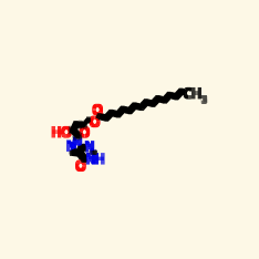 CCCCCCCCCCCCCCCC(=O)OC[C@@H]1C[C@@H](O)[C@H](n2ncc3c(=O)[nH]cnc32)O1